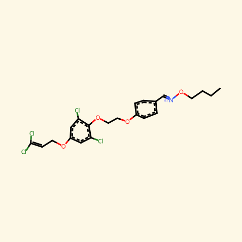 CCCCO/N=C/c1ccc(OCCOc2c(Cl)cc(OCC=C(Cl)Cl)cc2Cl)cc1